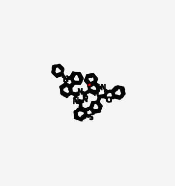 c1ccc(-c2nc(-c3cccc4sc5ccc(-c6nc(-c7ccccc7)nc7c6oc6ccccc67)cc5c34)nc(-c3cccc4c3c3ccccc3n4-c3ccccc3)n2)cc1